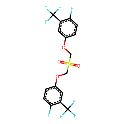 O=S(=O)(COc1ccc(F)c(C(F)(F)F)c1)COc1ccc(F)c(C(F)(F)F)c1